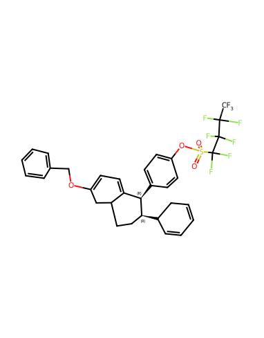 O=S(=O)(Oc1ccc([C@@H]2C3=CC=C(OCc4ccccc4)CC3CC[C@@H]2C2C=CC=CC2)cc1)C(F)(F)C(F)(F)C(F)(F)C(F)(F)F